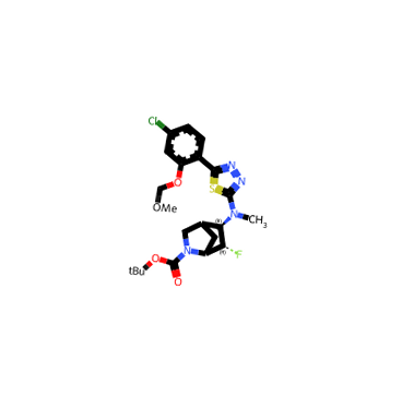 COCOc1cc(Cl)ccc1-c1nnc(N(C)[C@@H]2C3CC([C@H]2F)N(C(=O)OC(C)(C)C)C3)s1